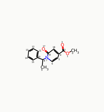 COC(=O)c1ccn(C(C)c2ccccc2)c(=O)c1